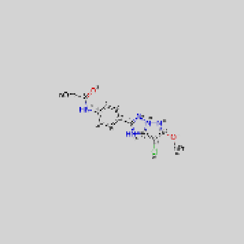 CCCCCCCCC(=O)Nc1ccc(-c2nn3nc(OCCC)c(Cl)c3[nH]2)cc1